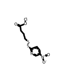 O=C(CCCSSc1ccc([N+](=O)[O-])cn1)OCl